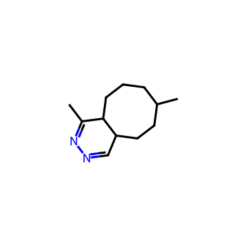 CC1=NN=CC2CCC(C)CCCC12